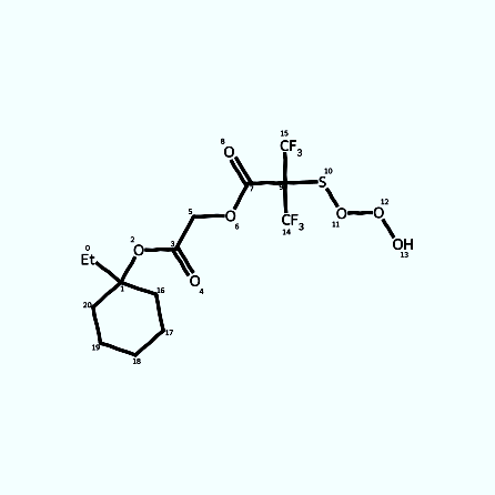 CCC1(OC(=O)COC(=O)C(SOOO)(C(F)(F)F)C(F)(F)F)CCCCC1